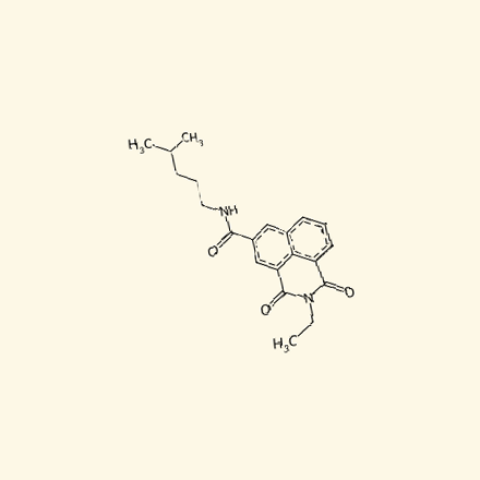 CCN1C(=O)c2cccc3cc(C(=O)NCCCC(C)C)cc(c23)C1=O